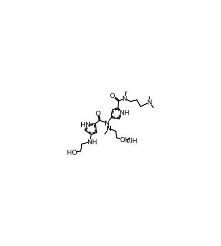 CN(C)CCCN(C)C(=O)c1cc(N(C(=O)c2cc(NCCO)c[nH]2)N(C)CCO)c[nH]1.Cl